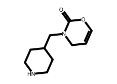 O=C1OC=CCN1CC1CCNCC1